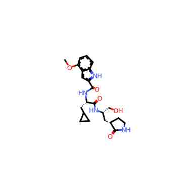 COc1cccc2[nH]c(C(=O)N[C@@H](CC3CC3)C(=O)N[C@H](CO)C[C@@H]3CCNC3=O)cc12